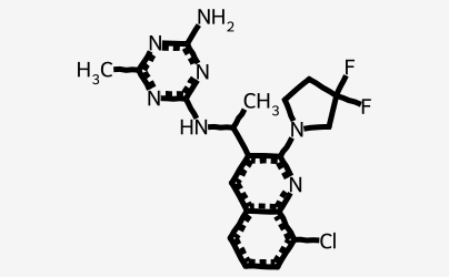 Cc1nc(N)nc(NC(C)c2cc3cccc(Cl)c3nc2N2CCC(F)(F)C2)n1